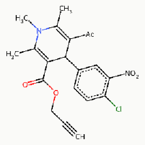 C#CCOC(=O)C1=C(C)N(C)C(C)=C(C(C)=O)C1c1ccc(Cl)c([N+](=O)[O-])c1